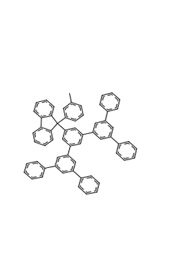 Cc1cccc(C2(c3cc(-c4cc(-c5ccccc5)cc(-c5ccccc5)c4)cc(-c4cc(-c5ccccc5)cc(-c5ccccc5)c4)c3)c3ccccc3-c3ccccc32)c1